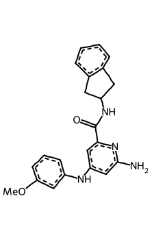 COc1cccc(Nc2cc(N)nc(C(=O)NC3Cc4ccccc4C3)c2)c1